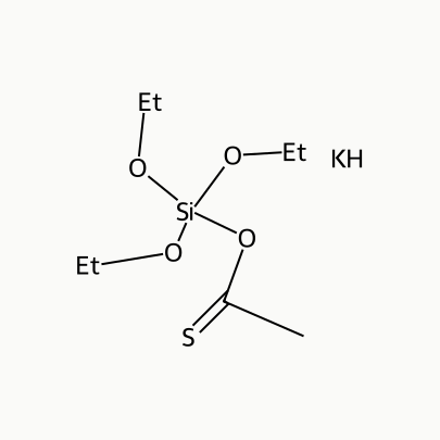 CCO[Si](OCC)(OCC)OC(C)=S.[KH]